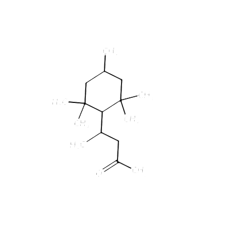 CC(=O)CC(C)C1C(C)(C)CC(C)CC1(C)C